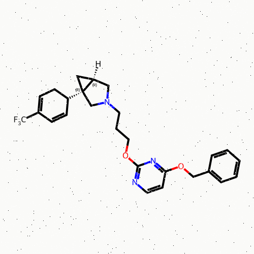 FC(F)(F)C1=CCC([C@]23C[C@H]2CN(CCCOc2nccc(OCc4ccccc4)n2)C3)C=C1